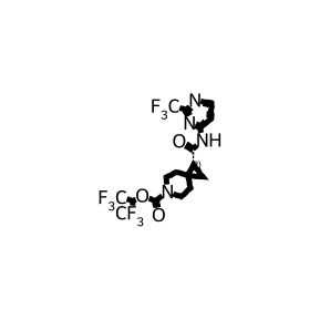 O=C(Nc1ccnc(C(F)(F)F)n1)[C@@H]1CC12CCN(C(=O)OC(C(F)(F)F)C(F)(F)F)CC2